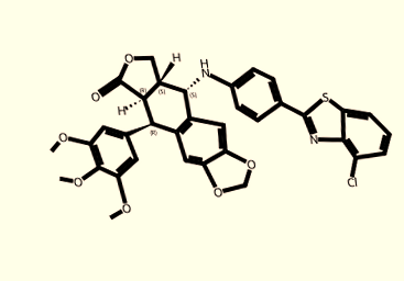 COc1cc([C@@H]2c3cc4c(cc3[C@@H](Nc3ccc(-c5nc6c(Cl)cccc6s5)cc3)[C@H]3COC(=O)[C@H]23)OCO4)cc(OC)c1OC